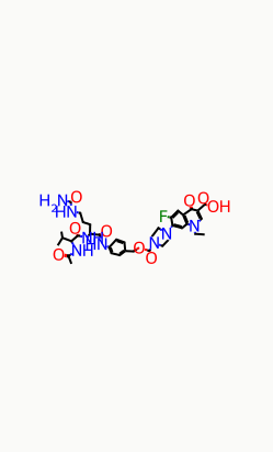 CCn1cc(C(=O)O)c(=O)c2cc(F)c(N3CCN(C(=O)OCc4ccc(NC(=O)C(CCCNC(N)=O)NC(=O)C(NC(C)=O)C(C)C)cc4)CC3)cc21